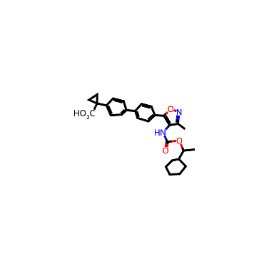 Cc1noc(-c2ccc(-c3ccc(C4(C(=O)O)CC4)cc3)cc2)c1NC(=O)OC(C)C1CCCCC1